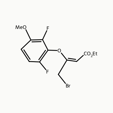 CCOC(=O)/C=C(/CBr)Oc1c(F)ccc(OC)c1F